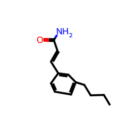 CCCCc1cccc(C=CC(N)=O)c1